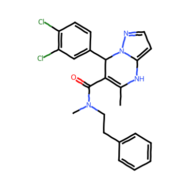 CC1=C(C(=O)N(C)CCc2ccccc2)C(c2ccc(Cl)c(Cl)c2)n2nccc2N1